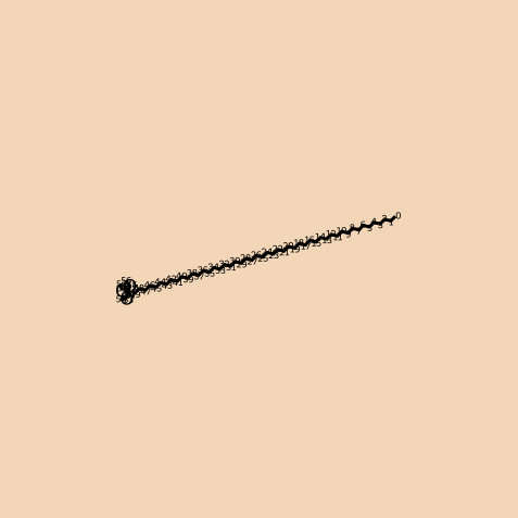 CCCCCCCCCCCCCCCCCCCCCCCCCCCCCCCCCCCCCCCCCCCCCCCCCC[Si](OC)(OC)OC